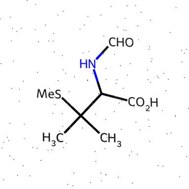 CSC(C)(C)C(NC=O)C(=O)O